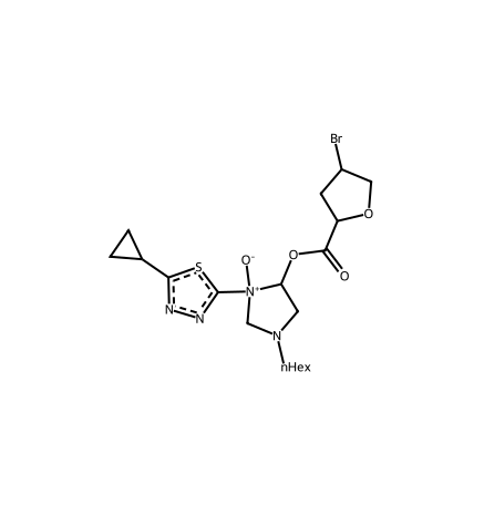 CCCCCCN1CC(OC(=O)C2CC(Br)CO2)[N+]([O-])(c2nnc(C3CC3)s2)C1